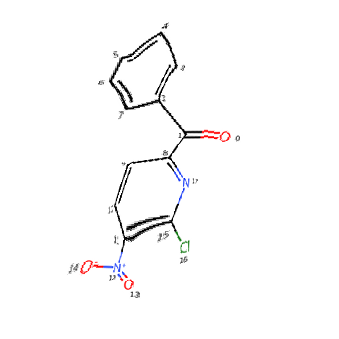 O=C(c1ccccc1)c1ccc([N+](=O)[O-])c(Cl)n1